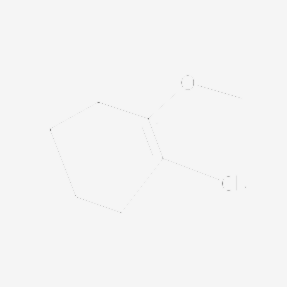 COC1=C(Cl)CCCC1